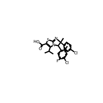 Cc1cc(Cl)c(F)cc1C1N2C(=NC1(C)c1ccc(Cl)cc1)SC(C(=O)O)=C2C(C)C